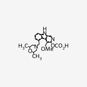 COCc1c(OC(=O)O)ncc2[nH]c3cccc(CN4CC(C)OC(C)C4)c3c12